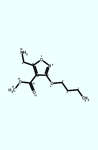 CCCCOc1noc(CN)c1C(=O)OC